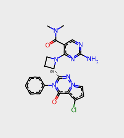 CN(C)C(=O)c1cnc(N)nc1N1CC[C@H]1c1nn2ccc(Cl)c2c(=O)n1-c1ccccc1